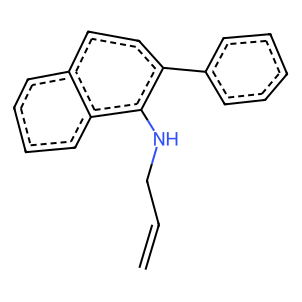 C=CCNc1c(-c2ccccc2)ccc2ccccc12